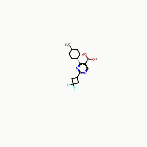 OB(O)c1cnc(C2CC(F)(F)C2)nc1[C@H]1CC[C@H](C(F)(F)F)CC1